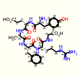 C[C@H](NC(=O)[C@H](CCC(=O)O)NC(=O)[C@@H](N)Cc1ccc(O)cc1)C(=O)N[C@@H](Cc1ccccc1)C(=O)N[C@@H](CCCNC(=N)N)C(=O)NCC(=O)O